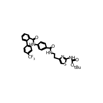 CC(C)(C)OC(=O)Nc1nc(CCNC(=O)c2ccc(NC(=O)c3ccccc3-c3ccc(C(F)(F)F)cc3)cc2)cs1